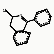 ClC1Cc2ccccc2C(c2ccccc2)=N1